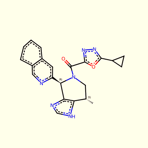 C[C@H]1CN(C(=O)c2nnc(C3CC3)o2)[C@H](c2cc3ccccc3cn2)c2nc[nH]c21